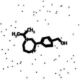 CC(C)N1CCC[N]C(c2ccc(CO)cc2)C1